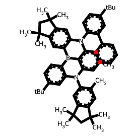 Cc1cc2c3c(c1)N(c1ccc(C(C)(C)C)cc1-c1ccccc1)c1cc4c(cc1B3c1ccc(C(C)(C)C)cc1N2c1cc2c(cc1C)C(C)(C)CC2(C)C)C(C)(C)CC4(C)C